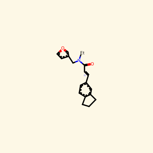 CCN(Cc1ccoc1)C(=O)/C=C/c1ccc2c(c1)CCC2